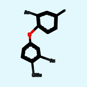 COc1ccc(Oc2ccc(C)cc2C(C)=O)cc1C(C)=O